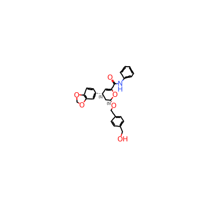 O=C(Nc1ccccc1)C1=C[C@@H](c2ccc3c(c2)OCO3)C[C@@H](OCc2ccc(CO)cc2)O1